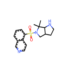 CC1(C)C2NCCC2CN1S(=O)(=O)c1cccc2cnccc12